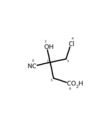 N#CC(O)(CCl)CC(=O)O